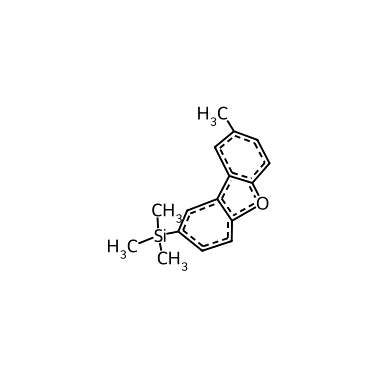 Cc1ccc2oc3ccc([Si](C)(C)C)cc3c2c1